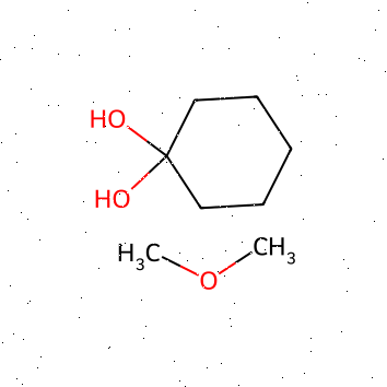 COC.OC1(O)CCCCC1